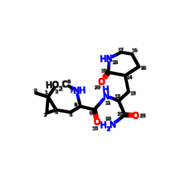 CC1(C)CC1CC(NC(=O)O)C(=O)NC(CC1CCCNC1=O)C(N)=O